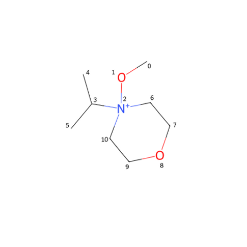 CO[N+]1(C(C)C)CCOCC1